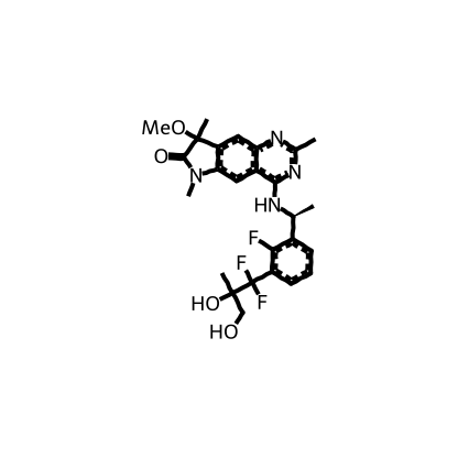 COC1(C)C(=O)N(C)c2cc3c(N[C@@H](C)c4cccc(C(F)(F)C(C)(O)CO)c4F)nc(C)nc3cc21